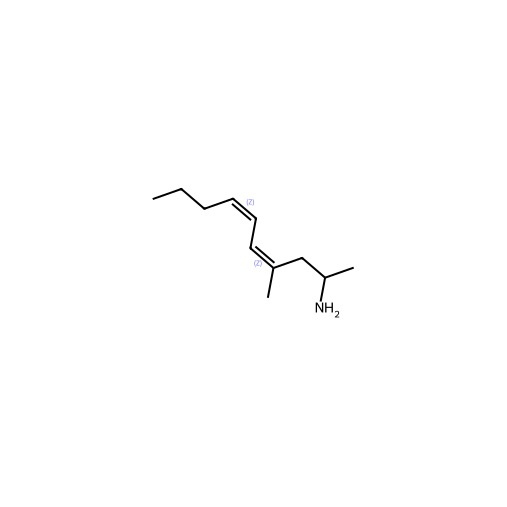 CCC/C=C\C=C(\C)CC(C)N